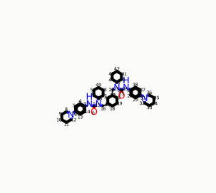 O=C(Nc1ccc(N2CCCCC2)cc1)N(C[C@@H]1CCC[C@H](CN(C(=O)Nc2ccc(N3CCCCC3)cc2)C2CCCCC2)C1)C1CCCCC1